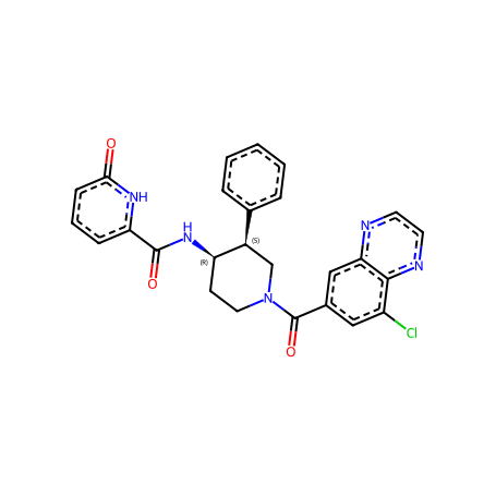 O=C(N[C@@H]1CCN(C(=O)c2cc(Cl)c3nccnc3c2)C[C@@H]1c1ccccc1)c1cccc(=O)[nH]1